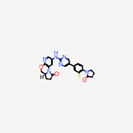 O=C1CCCN1c1ccc(-c2cnc(Nc3cnc4c(c3)N3C(=O)CC[C@H]3CO4)nc2)cc1F